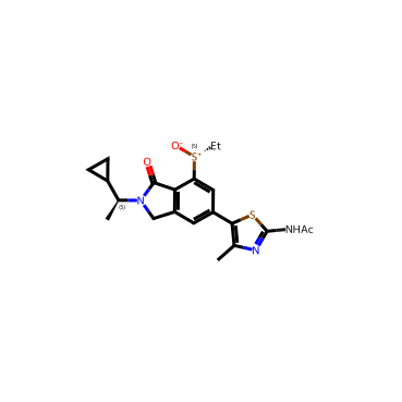 CC[S@@+]([O-])c1cc(-c2sc(NC(C)=O)nc2C)cc2c1C(=O)N([C@@H](C)C1CC1)C2